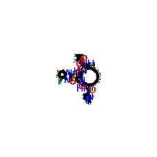 CCc1nc2cccc(F)c2nc1O[C@@H]1C[C@H]2C(=O)N[C@]3(C(=O)NS(=O)(=O)C4(C)CC4)C[C@H]3C=CCCCCC[C@H](NC(=O)c3ccn(C)n3)C(=O)N2C1